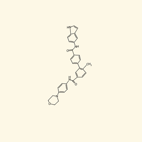 Cc1ccc(C(=O)Nc2ccc(N3CCOCC3)cc2)cc1-c1ccc(C(=O)Nc2ccc3[nH]ccc3c2)cc1